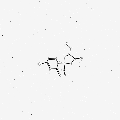 Nc1ccn([C@@]2([Hg][Cl])C[C@H](O)[C@@H](CO)O2)c(=O)n1